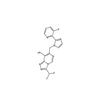 CCCc1c(Cn2ccnc2-c2ncccc2F)ncn2c(C(F)F)nnc12